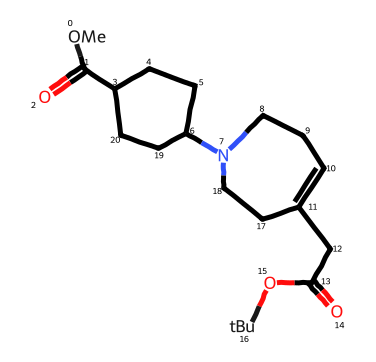 COC(=O)C1CCC(N2CCC=C(CC(=O)OC(C)(C)C)CC2)CC1